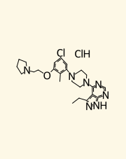 CCc1n[nH]c2ncnc(N3CCN(c4cc(Cl)cc(OCCN5CCCC5)c4C)CC3)c12.Cl